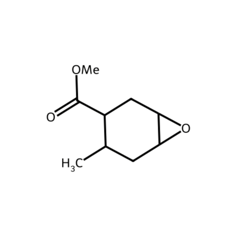 COC(=O)C1CC2OC2CC1C